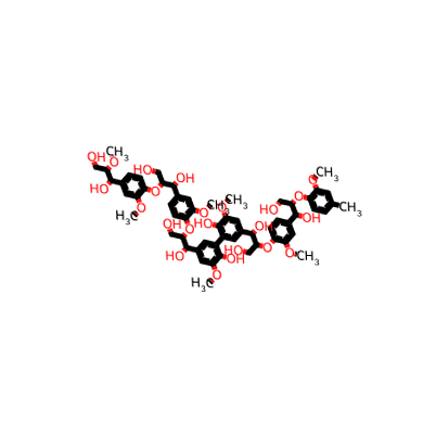 COc1cc(C)ccc1OC(CO)C(O)c1ccc(OC(CO)C(O)c2cc(OC)c(O)c(-c3cc(C(O)C(CO)Oc4ccc(C(O)C(CO)Oc5ccc(C(O)C(CO)OC)cc5OC)cc4OC)cc(OC)c3O)c2)c(OC)c1